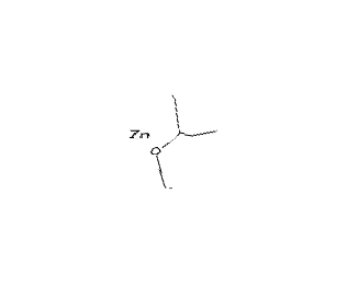 [CH2]OC(C)C.[Zn]